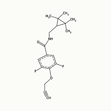 C#CCOc1c(F)cc(C(=O)NCC2C(C)(C)C2(C)C)cc1F